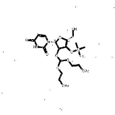 CC(=O)OCCOC(OCCOC(C)=O)OC1C(O[Si](C)(C)C(C)(C)C)[C@@H](CO)O[C@H]1n1ccc(=O)[nH]c1=O